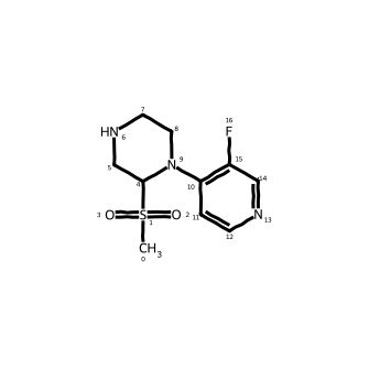 CS(=O)(=O)C1CNCCN1c1ccn[c]c1F